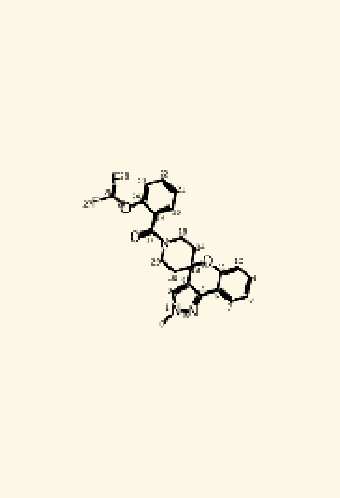 Cn1cc2c(n1)-c1ccccc1OC21CCN(C(=O)c2ccccc2OC(F)F)CC1